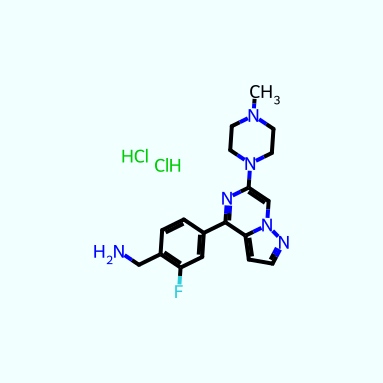 CN1CCN(c2cn3nccc3c(-c3ccc(CN)c(F)c3)n2)CC1.Cl.Cl